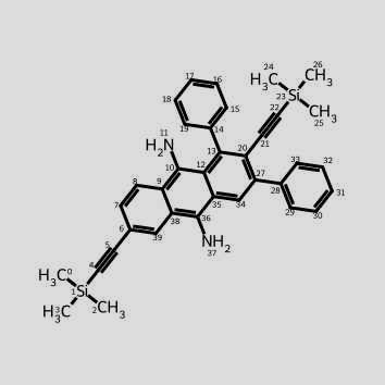 C[Si](C)(C)C#Cc1ccc2c(N)c3c(-c4ccccc4)c(C#C[Si](C)(C)C)c(-c4ccccc4)cc3c(N)c2c1